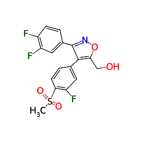 CS(=O)(=O)c1ccc(-c2c(-c3ccc(F)c(F)c3)noc2CO)cc1F